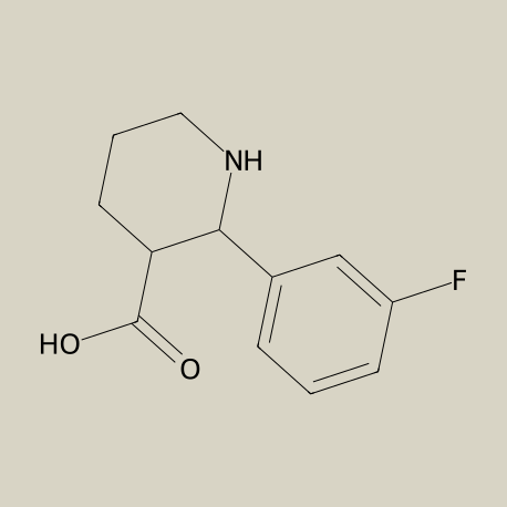 O=C(O)C1CCCNC1c1cccc(F)c1